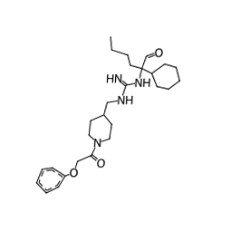 CCCCC(C=O)(NC(=N)NCC1CCN(C(=O)COc2ccccc2)CC1)C1CCCCC1